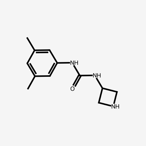 Cc1cc(C)cc(NC(=O)NC2CNC2)c1